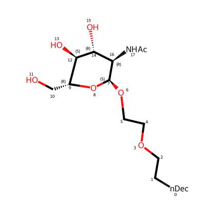 CCCCCCCCCCCCOCCO[C@H]1O[C@H](CO)[C@@H](O)[C@H](O)[C@H]1NC(C)=O